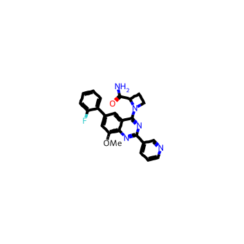 COc1cc(-c2ccccc2F)cc2c(N3CCC3C(N)=O)nc(-c3cccnc3)nc12